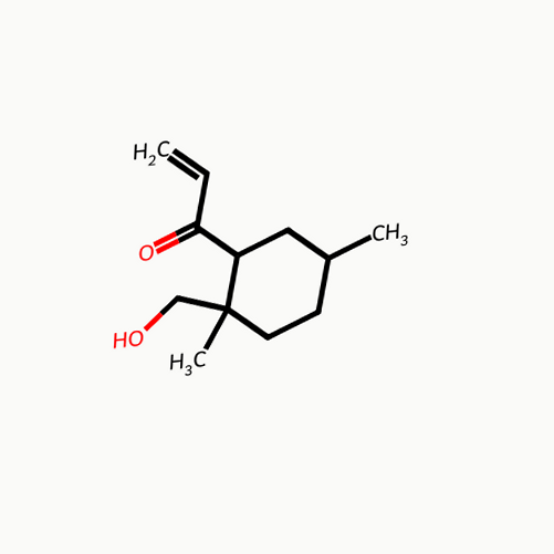 C=CC(=O)C1CC(C)CCC1(C)CO